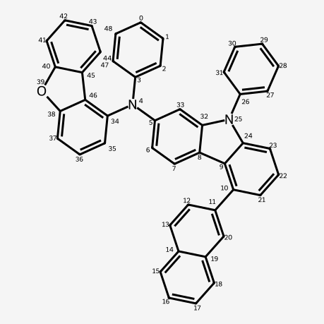 c1ccc(N(c2ccc3c4c(-c5ccc6ccccc6c5)cccc4n(-c4ccccc4)c3c2)c2cccc3oc4ccccc4c23)cc1